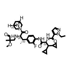 CCn1nccc1C(=O)N[C@H](C(=O)Nc1ccc([C@H](C)[C@@H](NCC(C)(C=O)OC)C(=O)N2C[C@H]3C[C@@H](C2)N3C)cc1F)C(C1CC1)C1CC1